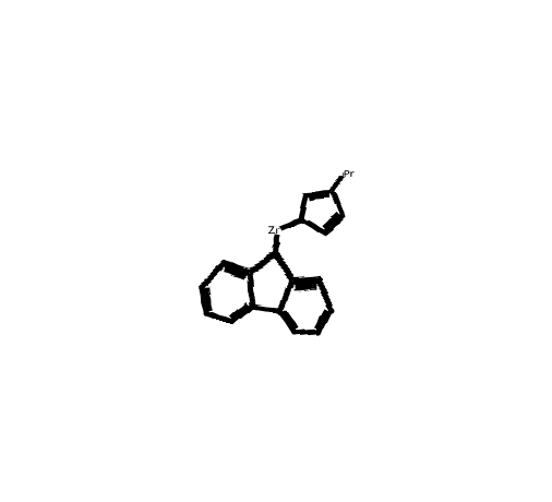 CC(C)C1=C[CH]([Zr][CH]2c3ccccc3-c3ccccc32)C=C1